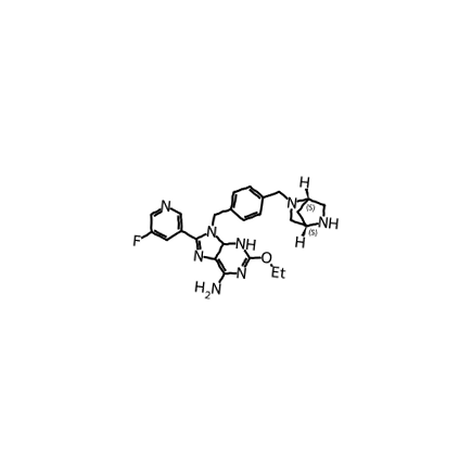 CCOC1=NC(N)=C2N=C(c3cncc(F)c3)N(Cc3ccc(CN4C[C@@H]5C[C@H]4CN5)cc3)C2N1